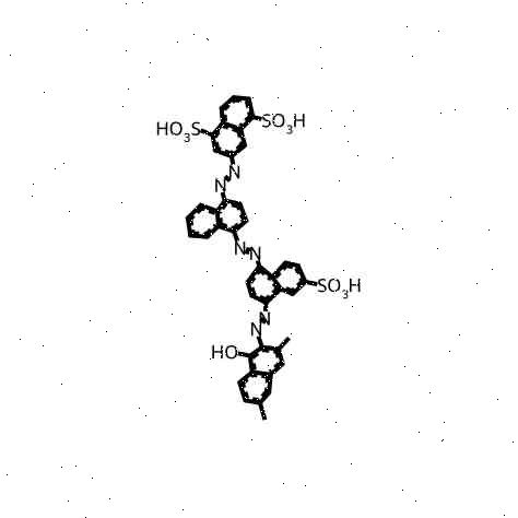 Cc1ccc2c(O)c(N=Nc3ccc(N=Nc4ccc(N=Nc5cc(S(=O)(=O)O)c6cccc(S(=O)(=O)O)c6c5)c5ccccc45)c4ccc(S(=O)(=O)O)cc34)c(C)cc2c1